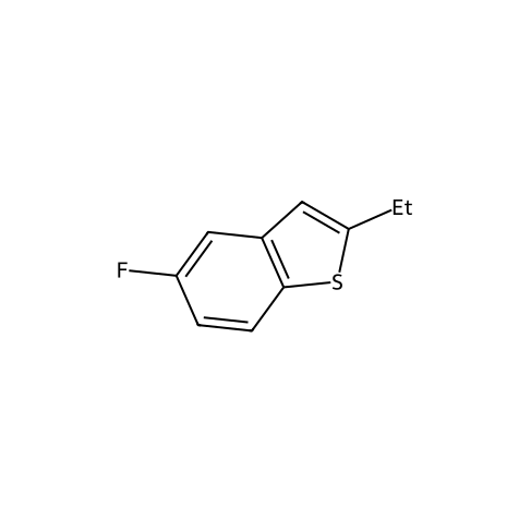 [CH2]Cc1cc2cc(F)ccc2s1